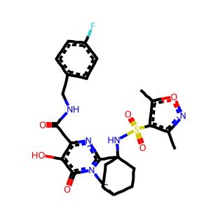 Cc1noc(C)c1S(=O)(=O)NC12CCC(CC1)Cn1c2nc(C(=O)NCc2ccc(F)cc2)c(O)c1=O